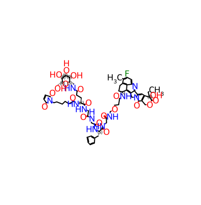 CC[C@@]1(O)C(=O)OCc2c1cc1n(c2=O)Cc2c-1nc1cc(F)c(C)c3c1c2[C@@H](NC(=O)CCOCNC(=O)CNC(=O)[C@H](Cc1ccccc1)NC(=O)CNC(=O)CNC(=O)[C@H](CCC(=O)NC[C@@H]1O[C@H](CO)[C@@H](O)[C@H](O)[C@H]1O)NC(=O)CCCCCN1C(=O)C=CC1=O)CC3